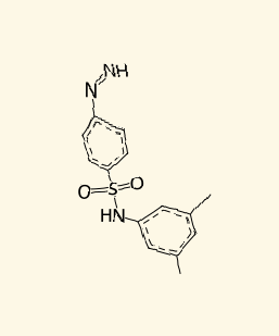 Cc1cc(C)cc(NS(=O)(=O)c2ccc(N=N)cc2)c1